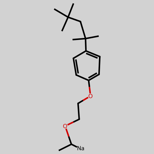 C[CH]([Na])OCCOc1ccc(C(C)(C)CC(C)(C)C)cc1